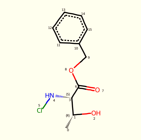 C[C@@H](O)[C@H](NCl)C(=O)OCc1ccccc1